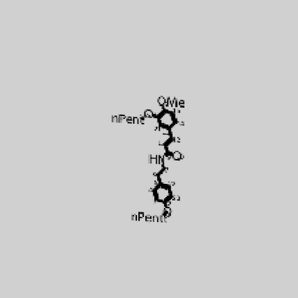 CCCCCOc1ccc(CCNC(=O)/C=C/c2ccc(OC)c(OCCCCC)c2)cc1